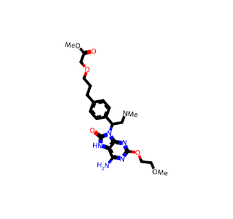 CNCC(c1ccc(CCCOCC(=O)OC)cc1)n1c(=O)[nH]c2c(N)nc(OCCOC)nc21